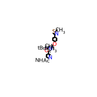 CC(=O)Nc1ccc([C@H](CNCCOc2ccc(-c3csc(C)n3)cc2)O[Si](C)(C)C(C)(C)C)cn1